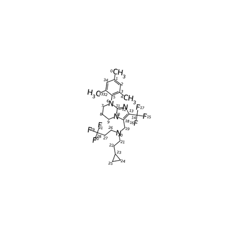 Cc1cc(C)c(N2CCCn3c2nc(C(F)(F)F)c3CN(CCC2CC2)CCC(F)(F)F)c(C)c1